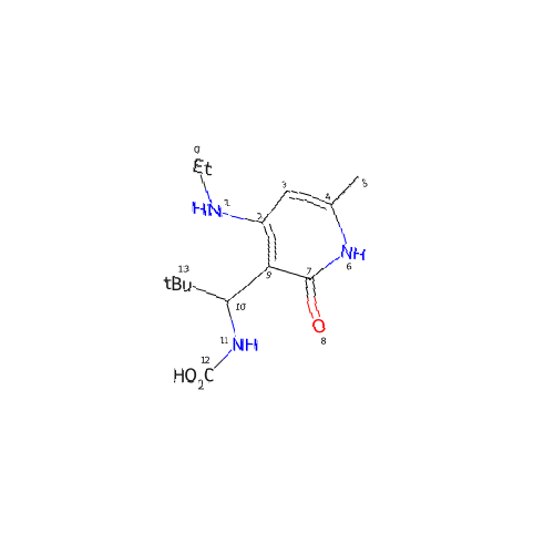 CCNc1cc(C)[nH]c(=O)c1C(NC(=O)O)C(C)(C)C